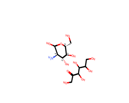 N[C@H]1C(O)O[C@H](CO)[C@@H](O)[C@@H]1O.O=C(CO)C(O)C(O)C(O)CO